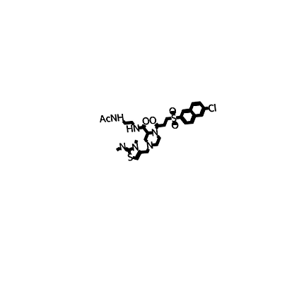 C/N=c1\scc(CN2CCN(C(=O)CCS(=O)(=O)c3ccc4cc(Cl)ccc4c3)C(C(=O)NCCNC(C)=O)C2)n1C